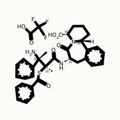 C[C@](N)(c1ccccc1)[C@](C)(SC(=O)c1ccccc1)C(=O)N[C@H]1Cc2ccccc2[C@H]2CCC[C@@H](C(=O)O)N2C1=O.O=C(O)C(F)(F)F